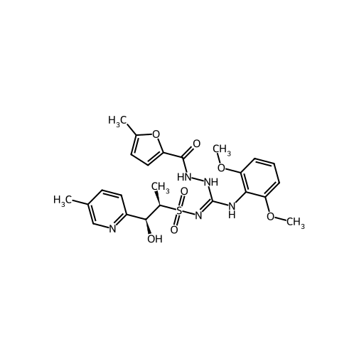 COc1cccc(OC)c1N/C(=N/S(=O)(=O)[C@H](C)[C@@H](O)c1ccc(C)cn1)NNC(=O)c1ccc(C)o1